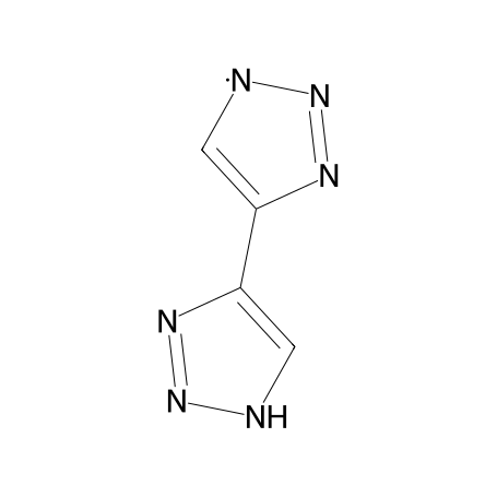 C1=C(c2c[nH]nn2)N=N[N]1